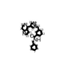 O=C(NCc1ccccc1)c1cccc(Cn2cc(C3=C4C=CN=C4CC=N3)cn2)c1